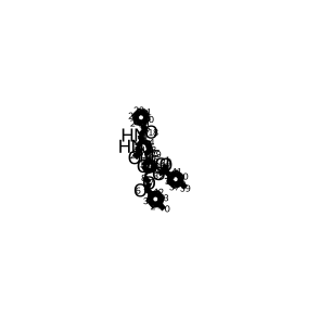 Cc1ccc(C(=O)OC[C@H]2O[C@@H](N3C=CC(NC(=O)c4ccccc4)NC3=O)[C@@](F)(Cl)[C@@H]2OC(=O)c2ccc(C)cc2)cc1